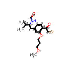 COCCCOc1cc(CC(NC=O)C(C)C)ccc1C(=O)CBr